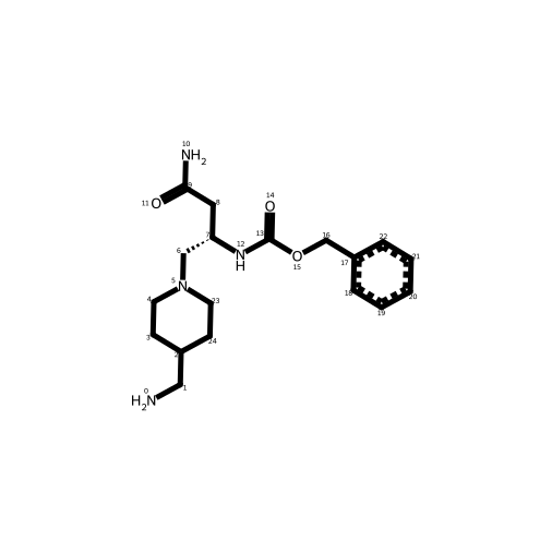 NCC1CCN(C[C@H](CC(N)=O)NC(=O)OCc2ccccc2)CC1